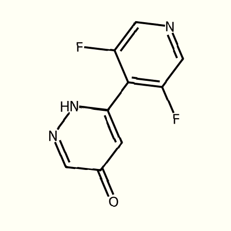 O=c1cn[nH]c(-c2c(F)cncc2F)c1